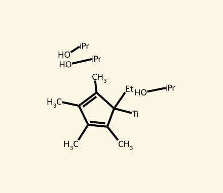 CC(C)O.CC(C)O.CC(C)O.CC[C]1([Ti])C(C)=C(C)C(C)=C1C